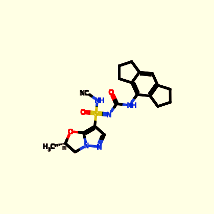 C[C@H]1Cn2ncc(S(=O)(=NC(=O)Nc3c4c(cc5c3CCC5)CCC4)NC#N)c2O1